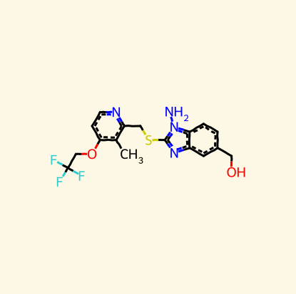 Cc1c(OCC(F)(F)F)ccnc1CSc1nc2cc(CO)ccc2n1N